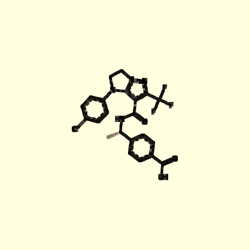 C[C@H](NC(=O)c1c(C(F)(F)F)nn2c1N(c1ccc(Cl)cc1)CC2)c1ccc(C(=O)O)cc1